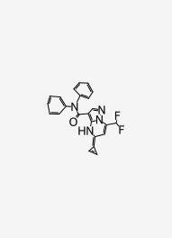 O=C(c1cnn2c1NC(=C1C=C1)C=C2C(F)F)N(c1ccccc1)c1ccccc1